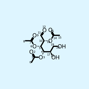 CC(=O)O[C@H]([C@H](OC(C)=O)[C@H](C=O)OC(C)=O)[C@H](O)CO